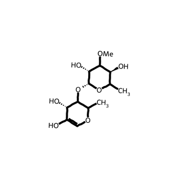 COC1[C@@H](O)C(C)O[C@H](OC2C(C)OC=C(O)[C@@H]2O)[C@@H]1O